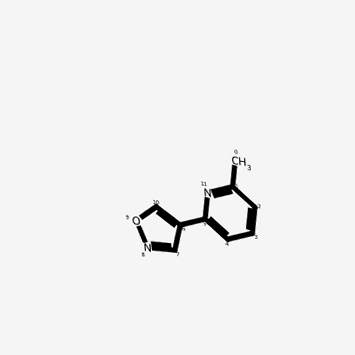 Cc1cccc(-c2cnoc2)n1